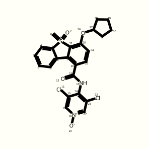 C=S1(=O)c2ccccc2-c2c(C(=O)Nc3c(Cl)c[n+]([O-])cc3Cl)ccc(OC3CCCC3)c21